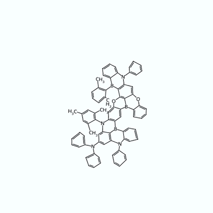 Cc1cc(C)c(N2c3cc4c(cc3B3c5ccccc5N(c5ccccc5)c5cc(N(c6ccccc6)c6ccccc6)cc2c53)B2c3ccccc3Oc3cc5c(c(c32)O4)B(c2c(C)cccc2C)c2ccccc2N5c2ccccc2)c(C)c1